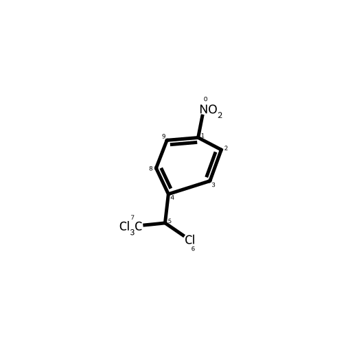 O=[N+]([O-])c1ccc(C(Cl)C(Cl)(Cl)Cl)cc1